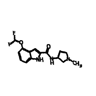 CN1CCC(NC(=O)c2cc3c(OC(F)F)cccc3[nH]2)C1